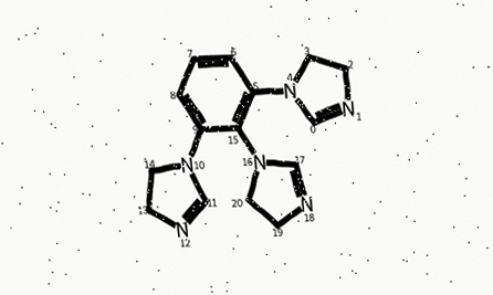 C1=NCCN1c1cccc(N2C=NCC2)c1N1C=NCC1